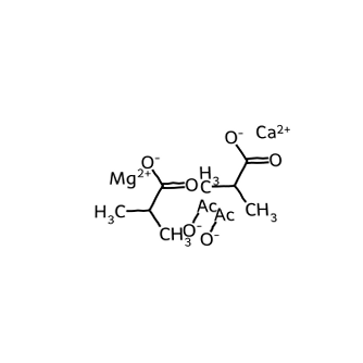 CC(=O)[O-].CC(=O)[O-].CC(C)C(=O)[O-].CC(C)C(=O)[O-].[Ca+2].[Mg+2]